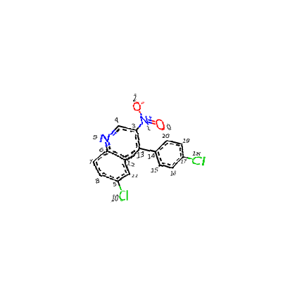 O=[N+]([O-])c1cnc2ccc(Cl)cc2c1-c1ccc(Cl)cc1